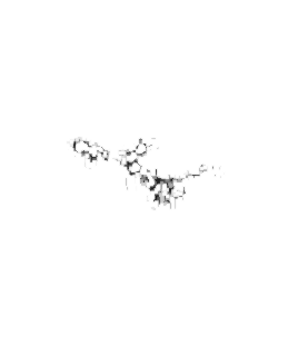 CCCn1c(=O)c2[nH]c(-c3ccc(N(CCCN4CCc5ccccc5C4=O)C(=O)c4ccc(F)nc4)nc3)nc2n(CCCCOC)c1=O